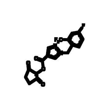 O=C(ON1C(=O)CCC1=O)c1cnn(Cc2ccc(F)cc2C(F)(F)F)c1